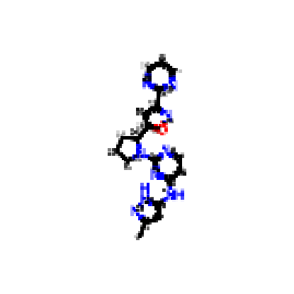 Cc1cc(Nc2ccnc(N3CCCC3c3cc(-c4ncccn4)no3)n2)[nH]n1